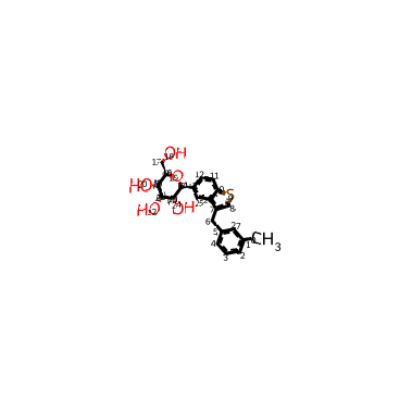 Cc1cccc(Cc2csc3ccc([C@@H]4O[C@H](CO)[C@@H](O)[C@H](O)[C@H]4O)cc23)c1